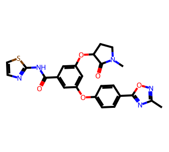 Cc1noc(-c2ccc(Oc3cc(OC4CCN(C)C4=O)cc(C(=O)Nc4nccs4)c3)cc2)n1